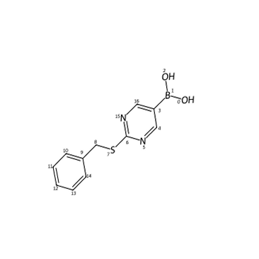 OB(O)c1cnc(SCc2ccccc2)nc1